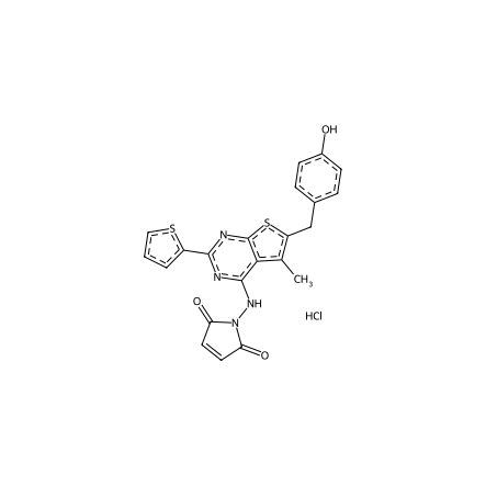 Cc1c(Cc2ccc(O)cc2)sc2nc(-c3cccs3)nc(NN3C(=O)C=CC3=O)c12.Cl